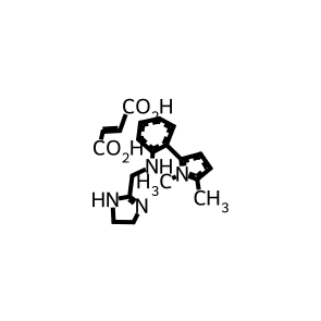 Cc1ccc(-c2ccccc2NCC2=NCCN2)n1C.O=C(O)C=CC(=O)O